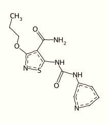 CCCOc1nsc(NC(=O)Nc2cccnc2)c1C(N)=O